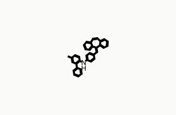 Cc1ccc(Nc2ccc(C=C3c4ccccc4C=Cc4ccccc43)cc2)c(-c2ccccc2)c1